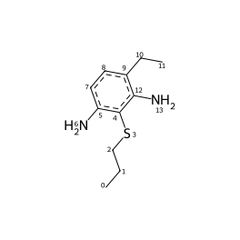 CCCSc1c(N)ccc(CC)c1N